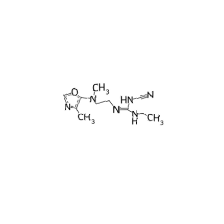 CCNC(=NCCN(C)c1ocnc1C)NC#N